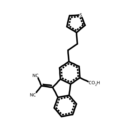 N#CC(C#N)=C1c2ccccc2-c2c(C(=O)O)cc(CCc3ccsc3)cc21